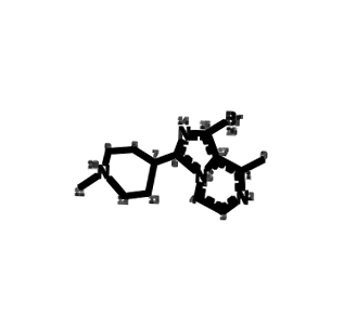 Cc1nccn2c(C3CCN(C)CC3)nc(Br)c12